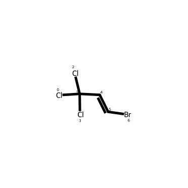 ClC(Cl)(Cl)C=CBr